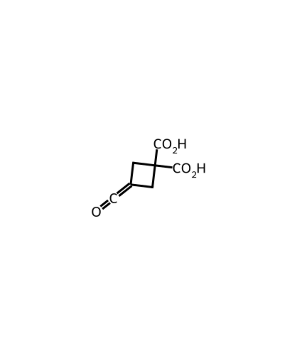 O=C=C1CC(C(=O)O)(C(=O)O)C1